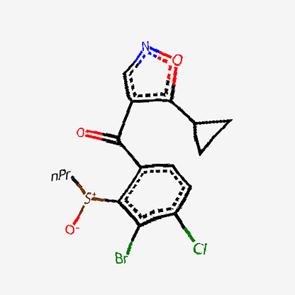 CCC[S+]([O-])c1c(C(=O)c2cnoc2C2CC2)ccc(Cl)c1Br